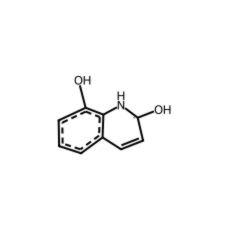 O[C]1C=Cc2cccc(O)c2N1